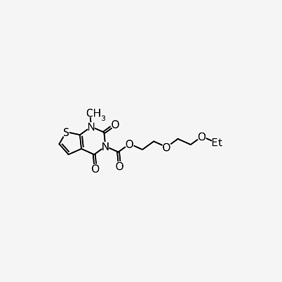 CCOCCOCCOC(=O)n1c(=O)c2ccsc2n(C)c1=O